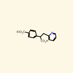 CCOC(=O)c1ccc(C(Cc2ccccn2)C(=O)O)cc1